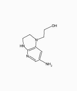 Nc1cnc2c(c1)N(CCO)CCN2